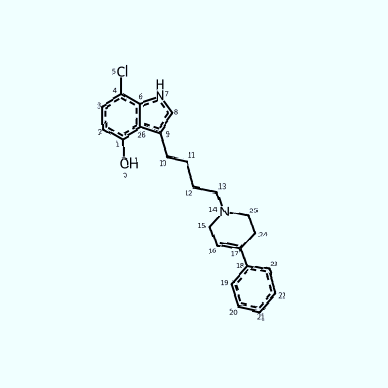 Oc1ccc(Cl)c2[nH]cc(CCCCN3CC=C(c4ccccc4)CC3)c12